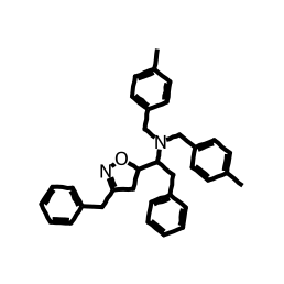 Cc1ccc(CN(Cc2ccc(C)cc2)C(Cc2ccccc2)C2CC(Cc3ccccc3)=NO2)cc1